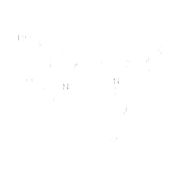 COc1ccc(N(c2ccc(OC)cc2)c2ccc(-c3ccc(O)c(C=O)c3-c3nccs3)cc2)cc1